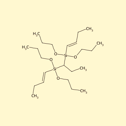 CCC=C[Si](OCCC)(OCCC)C(CC)[Si](C=CCC)(OCCC)OCCC